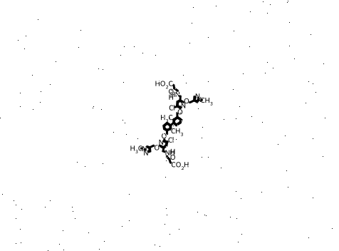 Cc1c(COc2nc(OCc3cnn(C)c3)c(CNC[C@@H](O)CC(=O)O)cc2Cl)cccc1-c1cccc(COc2nc(OCc3cnn(C)c3)c(CNC[C@@H](O)CC(=O)O)cc2Cl)c1C